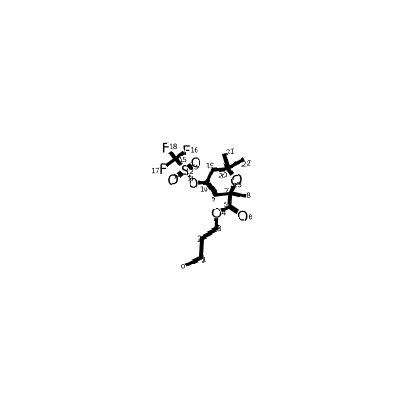 CCCCOC(=O)C1(C)C=C(OS(=O)(=O)C(F)(F)F)CC(C)(C)O1